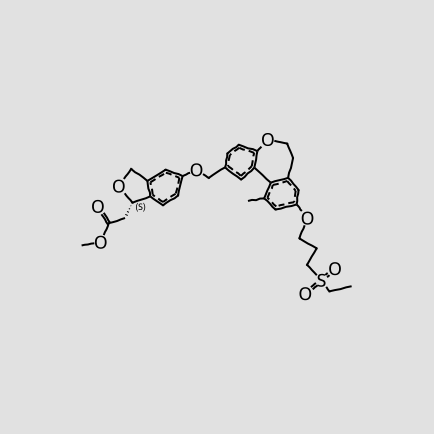 CCS(=O)(=O)CCCOc1cc(C)c2c(c1)CCOc1ccc(COc3ccc4c(c3)CO[C@H]4CC(=O)OC)cc1-2